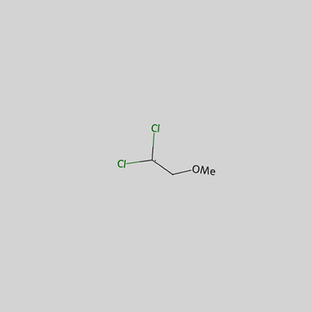 COC[C](Cl)Cl